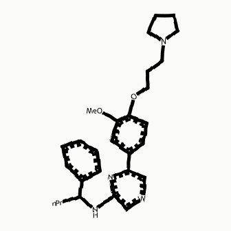 CCCC(Nc1cncc(-c2ccc(OCCCN3CCCC3)c(OC)c2)n1)c1ccccc1